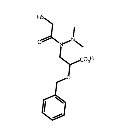 CN(C)N(CC(OCc1ccccc1)C(=O)O)C(=O)CS